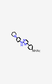 CC(=O)Nc1ccc(-c2ccnc(Nc3ccc(N4CCCCC4)cc3)n2)cc1